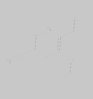 CC(C)Oc1cc(C#N)cnc1C(C)C